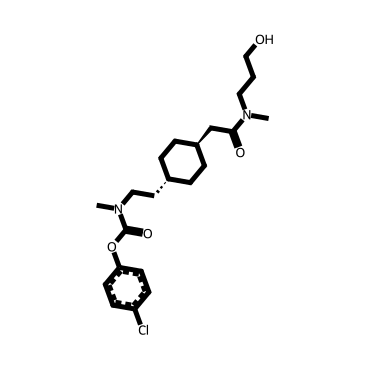 CN(CCCO)C(=O)C[C@H]1CC[C@H](CCN(C)C(=O)Oc2ccc(Cl)cc2)CC1